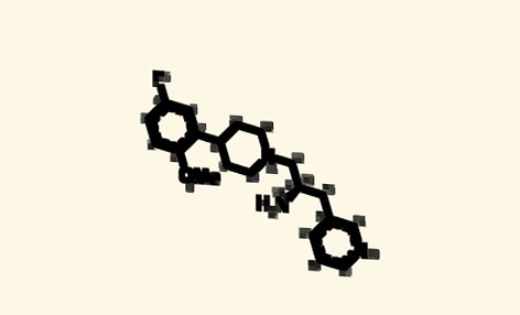 COc1ccc(F)cc1C1CCN(C[C@H](N)Cc2cccnc2)CC1